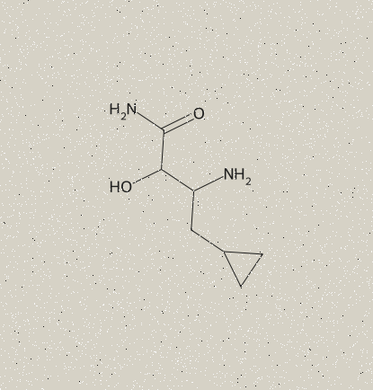 NC(=O)C(O)C(N)CC1CC1